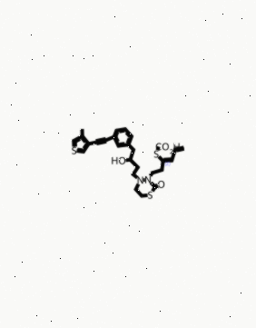 C=C/C=C(/CCN1C(=O)SCCN1CCC(O)Cc1cccc(C#Cc2cscc2C)c1)SC(=O)O